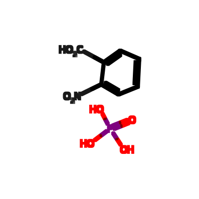 O=C(O)c1ccccc1[N+](=O)[O-].O=P(O)(O)O